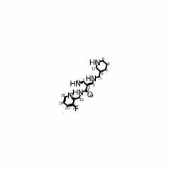 N=C/C(=C\NCC1CCCNC1)C(=O)NCc1ncccc1F